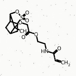 C=CC(=O)NCCOC(=O)COC1(C)C2CC3C1OS(=O)(=O)C3C2